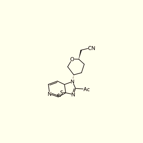 CC(=O)C1=NC23SC=CC2=NC=CC3N1[C@H]1CC[C@H](CC#N)OC1